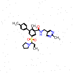 C=CC(N1CCCC1)S(=O)(=O)c1cc(C(=O)NCc2cnc(C)nc2)c(C)c(-c2ccc(C)cc2)c1